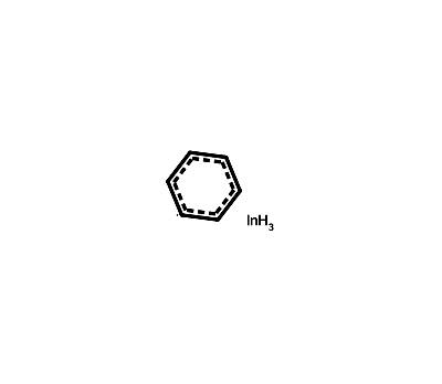 [InH3].[c]1ccccc1